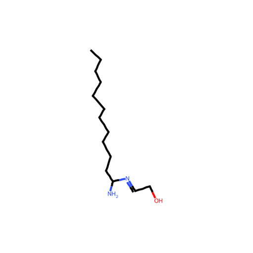 CCCCCCCCCCCC(N)N=CCO